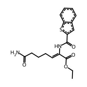 CCOC(=O)/C(=C/CCCC(N)=O)NC(=O)c1cc2ccccc2s1